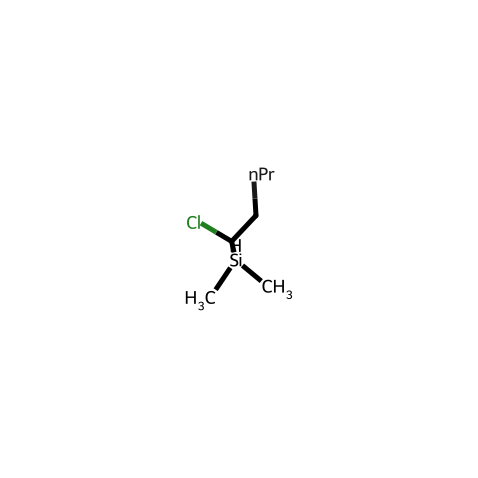 CCCCC(Cl)[SiH](C)C